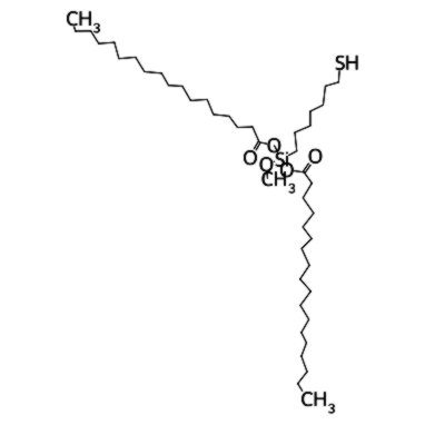 CCCCCCCCCCCCCCCCCC(=O)O[Si](CCCCCCCS)(OC)OC(=O)CCCCCCCCCCCCCCCCC